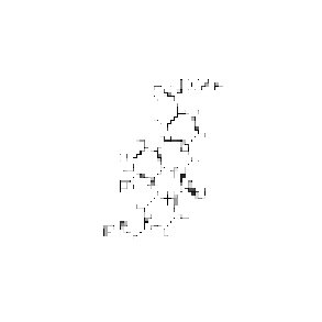 COC(=O)c1ccc(CN(C(=O)N2CCN(C[C](C)C)CC2)c2cccc(F)c2)cc1